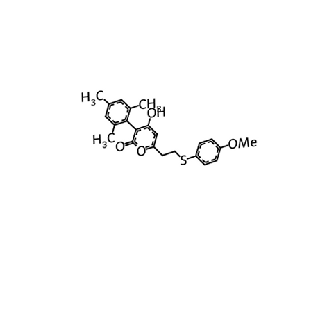 COc1ccc(SCCc2cc(O)c(-c3c(C)cc(C)cc3C)c(=O)o2)cc1